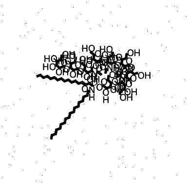 CCCCCCCCCCCCC/C=C/[C@@H](O)[C@H](CO[C@@H]1OC(CO)[C@@H](O[C@@H]2OC(CO)[C@H](O)[C@H](O[C@@H]3OC(CO)[C@@H](O[C@@H]4OC(CO)[C@H](O)[C@H](O[C@@H]5OC(CO)[C@@H](O[C@@H]6OC(CO)[C@H](O)[C@H](O[C@@H]7OC(CO)[C@@H](O[C@@H]8OC(CO)[C@H](O)[C@H](O[C@H]9OC(CO)[C@H](O)[C@H](O)C9O)C8O)[C@H](O)C7NC(C)=O)C6O)[C@H](O)C5NC(C)=O)C4O)[C@H](O)C3NC(C)=O)C2O)[C@H](O)C1O)NC(=O)CCCCCCCCCCCCCCCCC